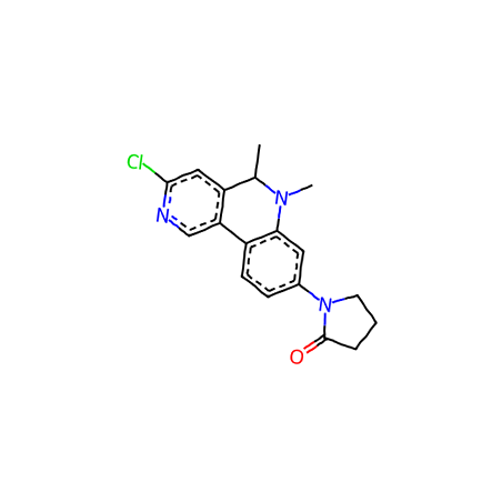 CC1c2cc(Cl)ncc2-c2ccc(N3CCCC3=O)cc2N1C